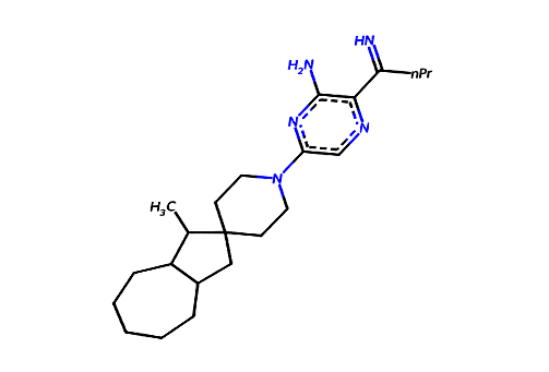 CCCC(=N)c1ncc(N2CCC3(CC2)CC2CCCCCC2C3C)nc1N